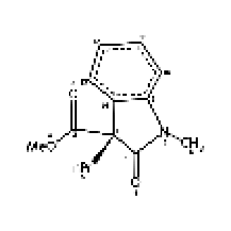 CCC[C@]1(C(=O)OC)C(=O)N(C)c2ccccc21